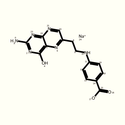 Nc1nc(O)c2nc(CCNc3ccc(C(=O)[O-])cc3)cnc2n1.[Na+]